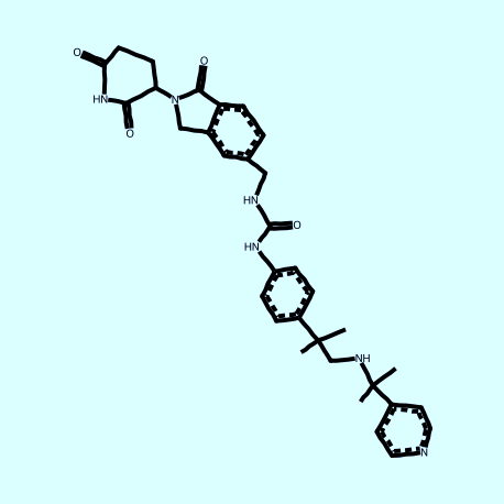 CC(C)(CNC(C)(C)c1ccncc1)c1ccc(NC(=O)NCc2ccc3c(c2)CN(C2CCC(=O)NC2=O)C3=O)cc1